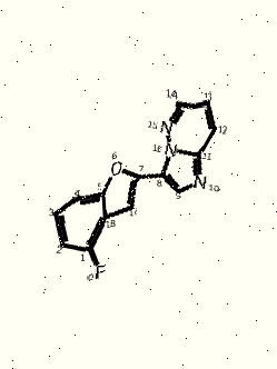 Fc1cccc2oc(-c3cnc4cccnn34)cc12